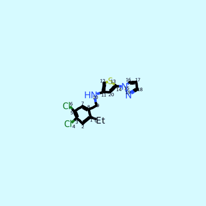 CCc1cc(Cl)c(Cl)cc1CNc1csc(-n2cccn2)c1